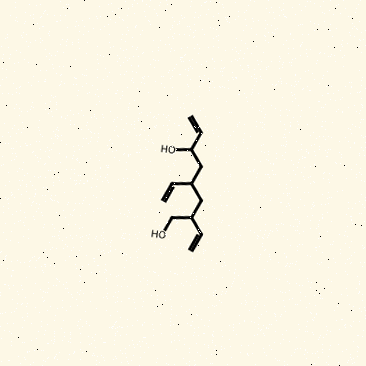 C=CC(O)CC(C=C)CC(C=C)CO